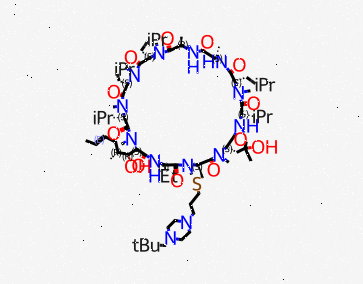 C/C=C/C[C@@H](C)[C@@H](O)[C@H]1C(=O)N[C@@H](CC)C(=O)N(C)[C@H](CSCCCN2CCN(CC(C)(C)C)CC2)C(=O)N(C)[C@@H](CC(C)(C)O)C(=O)N[C@@H](C(C)C)C(=O)N(C)[C@@H](CC(C)C)C(=O)N[C@@H](C)C(=O)N[C@H](C)C(=O)N(C)[C@@H](CC(C)C)C(=O)N(C)[C@@H](CC(C)C)C(=O)N(C)[C@@H](C(C)C)C(=O)N1C